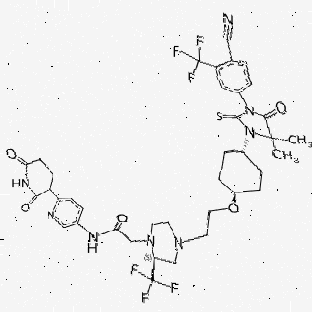 CC1(C)C(=O)N(c2ccc(C#N)c(C(F)(F)F)c2)C(=S)N1[C@H]1CC[C@H](OCCN2CCN(CC(=O)Nc3ccc(C4CCC(=O)NC4=O)nc3)[C@H](C(F)(F)F)C2)CC1